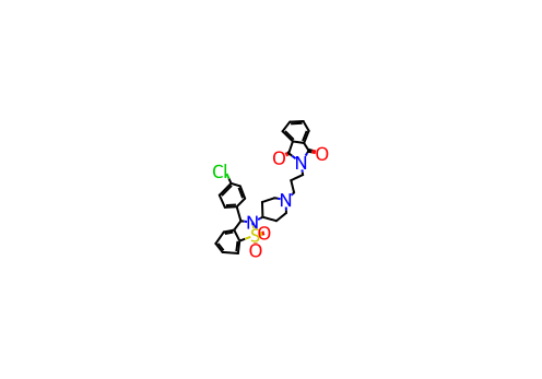 O=C1c2ccccc2C(=O)N1CCCN1CCC(N2C(c3ccc(Cl)cc3)c3ccccc3S2(=O)=O)CC1